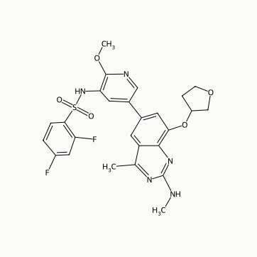 CNc1nc(C)c2cc(-c3cnc(OC)c(NS(=O)(=O)c4ccc(F)cc4F)c3)cc(OC3CCOC3)c2n1